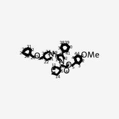 COc1ccc(COC(=O)[C@@H](C2CCCCC2)N2C[C@H](CN3CCC(COCc4ccccc4)CC3)[C@@H](c3ccccc3)C2)cc1